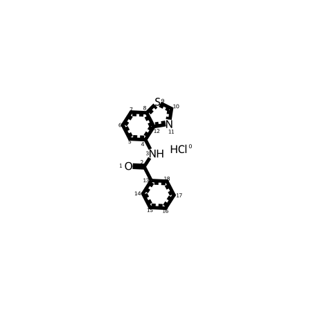 Cl.O=C(Nc1cccc2scnc12)c1ccccc1